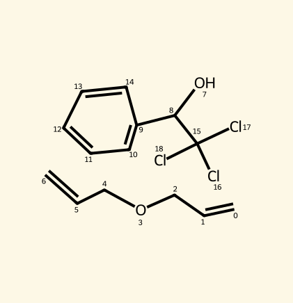 C=CCOCC=C.OC(c1ccccc1)C(Cl)(Cl)Cl